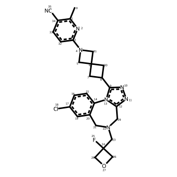 Cc1nc(N2CC3(CC(c4nnc5n4-c4ccc(Cl)cc4CN(CC4(F)COC4)C5)C3)C2)ccc1C#N